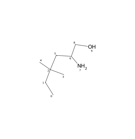 CCC(C)(C)CC(N)CO